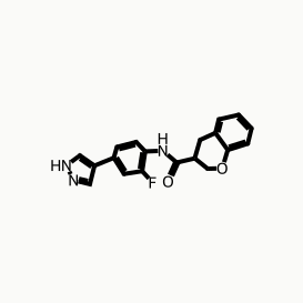 O=C(Nc1ccc(-c2cn[nH]c2)cc1F)C1COc2ccccc2C1